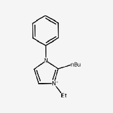 CCCCc1n(-c2ccccc2)cc[n+]1CC